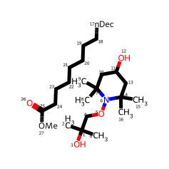 CC(C)(O)CON1C(C)(C)CC(O)CC1(C)C.CCCCCCCCCCCCCCCCCC(=O)OC